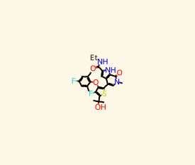 CCNC(=O)c1cc2c(-c3sc(C(C)(C)O)c(F)c3Oc3c(C)cc(F)cc3C)cn(C)c(=O)c2[nH]1